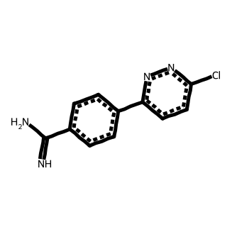 N=C(N)c1ccc(-c2ccc(Cl)nn2)cc1